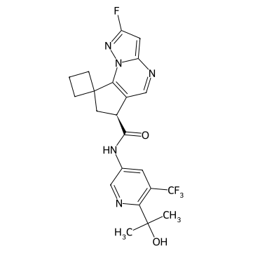 CC(C)(O)c1ncc(NC(=O)[C@H]2CC3(CCC3)c3c2cnc2cc(F)nn32)cc1C(F)(F)F